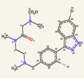 CN(CCN(C)C(=O)CN(C)C(=O)O)Cc1ccc(-c2n[nH]c3cc(Br)ccc23)c(F)c1